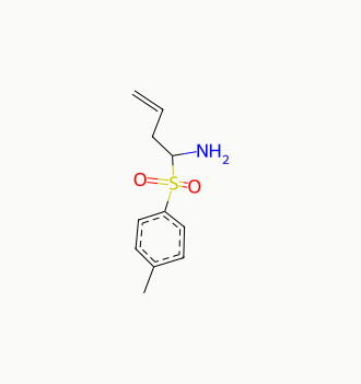 C=CCC(N)S(=O)(=O)c1ccc(C)cc1